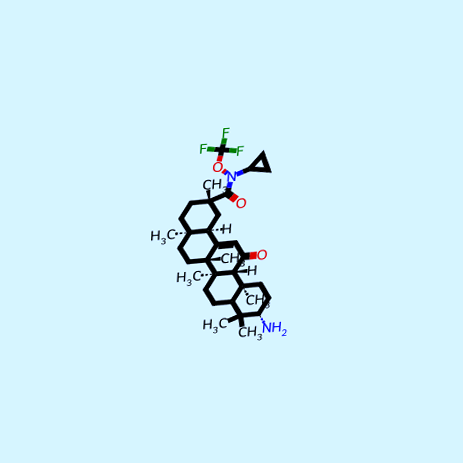 CC1(C)C2CC[C@]3(C)[C@H](C(=O)C=C4[C@@H]5C[C@@](C)(C(=O)N(OC(F)(F)F)C6CC6)CC[C@]5(C)CC[C@]43C)[C@@]2(C)CC[C@@H]1N